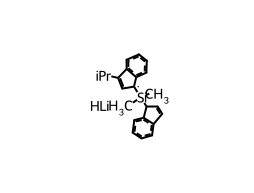 CC(C)C1=C[C]([Si](C)(C)C2C=Cc3ccccc32)c2ccccc21.[LiH]